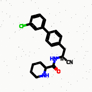 N#C[C@H](Cc1ccc(-c2cccc(Cl)c2)cc1)NC(=O)C1CCCCN1